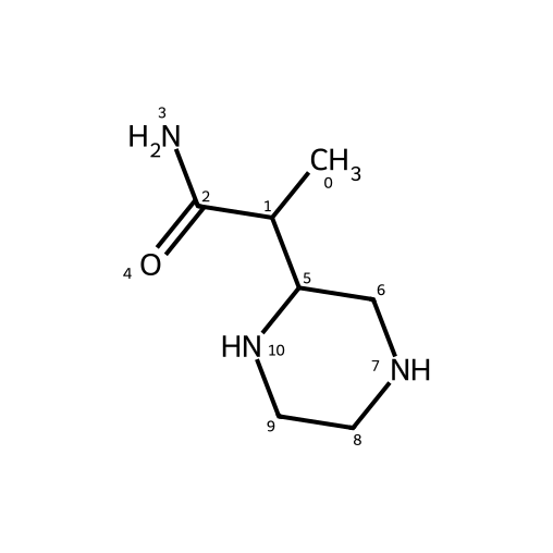 CC(C(N)=O)C1CNCCN1